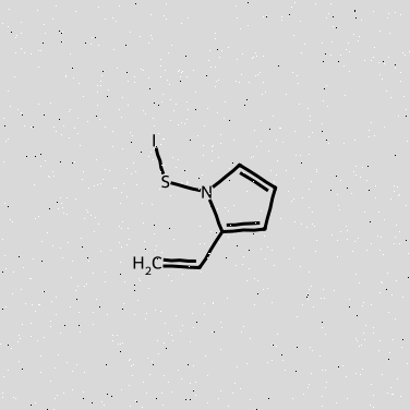 C=Cc1cccn1SI